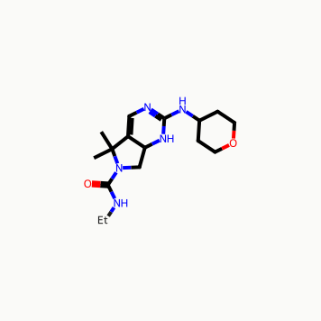 CCNC(=O)N1CC2NC(NC3CCOCC3)=NC=C2C1(C)C